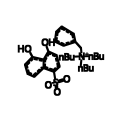 CCCC[N+](CCCC)(CCCC)Cc1ccccc1.O=S(=O)([O-])c1ccc(O)c2c(O)cccc12